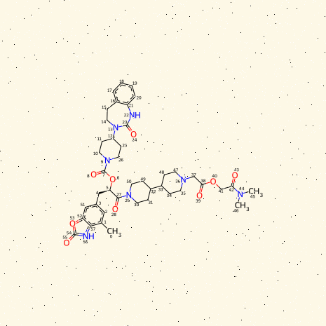 Cc1cc(C[C@@H](OC(=O)N2CCC(N3CCc4ccccc4NC3=O)CC2)C(=O)N2CCC(C3CCN(CC(=O)OCC(=O)N(C)C)CC3)CC2)cc2oc(=O)[nH]c12